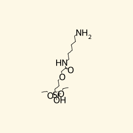 CCO[Si](O)(CCCOCC(=O)NCCCCCCN)OCC